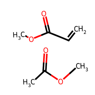 C=CC(=O)OC.COC(C)=O